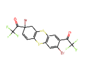 O=C(c1cc2c(cc1Br)SC1=C(CC(Br)(C(=O)C(F)(F)F)C=C1)S2)C(F)(F)F